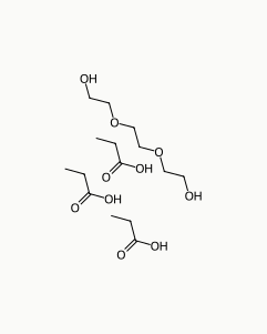 CCC(=O)O.CCC(=O)O.CCC(=O)O.OCCOCCOCCO